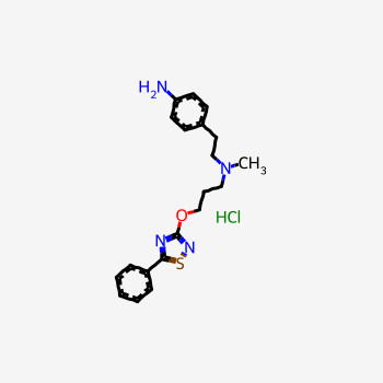 CN(CCCOc1nsc(-c2ccccc2)n1)CCc1ccc(N)cc1.Cl